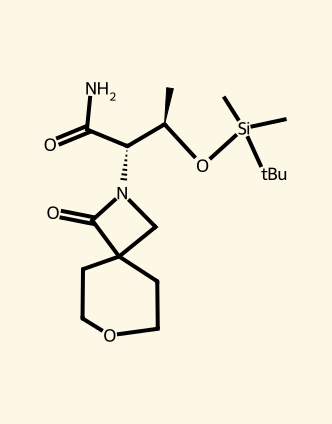 C[C@@H](O[Si](C)(C)C(C)(C)C)[C@@H](C(N)=O)N1CC2(CCOCC2)C1=O